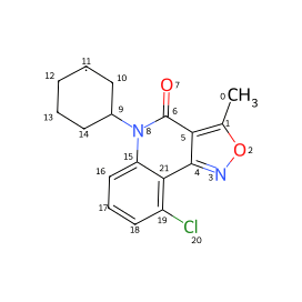 Cc1onc2c1c(=O)n(C1C[CH]CCC1)c1cccc(Cl)c21